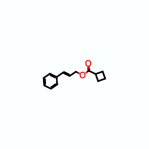 O=C(OCC=Cc1ccccc1)C1CCC1